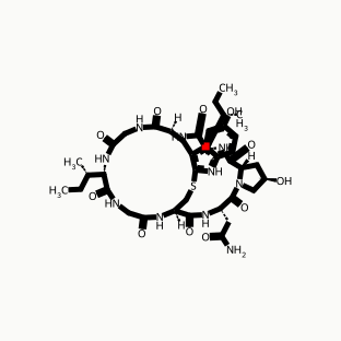 CC[C@H](C)[C@@H]1NC(=O)CNC(=O)[C@@H]2Cc3c([nH]c4ccc(O)cc34)SC[C@H](NC(=O)CNC1=O)C(=O)N[C@@H](CC(N)=O)C(=O)N1C[C@H](O)C[C@H]1C(=O)N[C@@H]([C@@H](C)CC)C(=O)N2